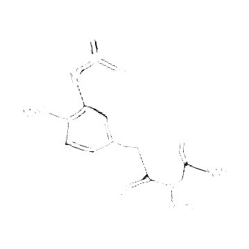 CCCCCCCN(C(=O)Cc1ccc(OC)c(N=S(=O)=O)c1)C(=S)NC